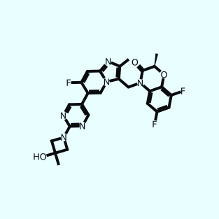 Cc1nc2cc(F)c(-c3cnc(N4CC(C)(O)C4)nc3)cn2c1CN1C(=O)[C@@H](C)Oc2c(F)cc(F)cc21